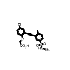 Cc1ccc(S(=O)(=O)NC(C)(C)C)cc1C#Cc1cc(Cl)ccc1OCC(=O)O